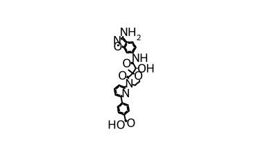 CC1([C@@H](O)C(=O)Nc2ccc3c(N)noc3c2)OCCN(c2cccc(-c3ccc(C(=O)O)cc3)n2)C1=O